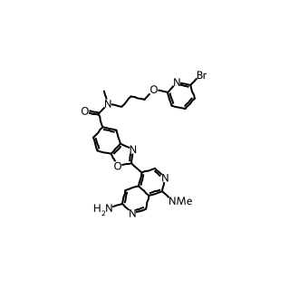 CNc1ncc(-c2nc3cc(C(=O)N(C)CCCOc4cccc(Br)n4)ccc3o2)c2cc(N)ncc12